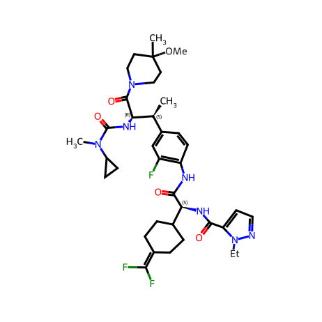 CCn1nccc1C(=O)N[C@H](C(=O)Nc1ccc([C@H](C)[C@@H](NC(=O)N(C)C2CC2)C(=O)N2CCC(C)(OC)CC2)cc1F)C1CCC(=C(F)F)CC1